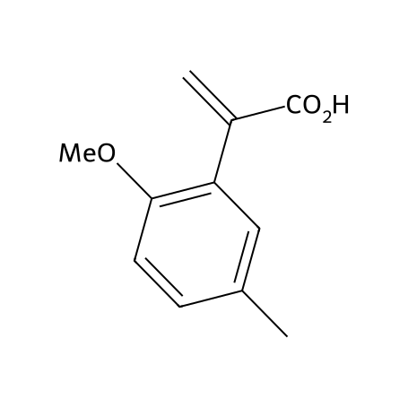 C=C(C(=O)O)c1cc(C)ccc1OC